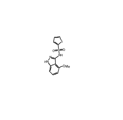 COc1cccc2[nH]nc(NS(=O)(=O)c3cccs3)c12